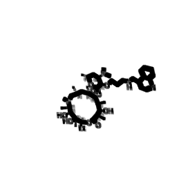 CC[C@H]1OC(=O)[C@H](C)[C@@H](O)[C@H](C)[C@@H](O[C@@H]2O[C@H](C)C[C@H](N(C)C)[C@H]2OCCCNCc2ccnc3ccccc23)[C@](C)(O)C[C@@H](C)CN(C)[C@H](C)[C@@H](O)[C@]1(C)O